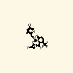 O=C(C1C(C(F)(F)F)CCc2nn(Cc3ncc(Cl)cc3F)c(=O)n21)N1CC(F)C1